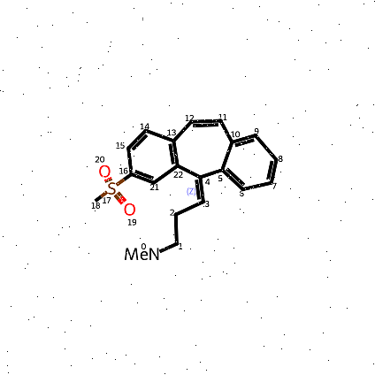 CNCC/C=C1/c2ccccc2C=Cc2ccc(S(C)(=O)=O)cc21